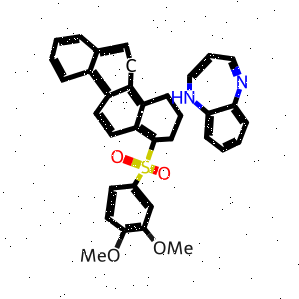 C1=CNc2ccccc2N=C1.COc1ccc(S(=O)(=O)C2=c3ccc4c(c3CCC2)CC=c2ccccc2=4)cc1OC